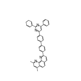 Cc1cc(C)c2ccc3ccc(-c4ccc(-c5ccc(-c6cc(-c7ccccc7)nc(C7=CCCC=C7)n6)cc5)cc4)nc3c2n1